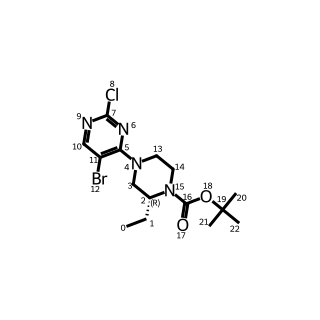 CC[C@@H]1CN(c2nc(Cl)ncc2Br)CCN1C(=O)OC(C)(C)C